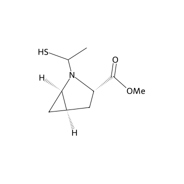 COC(=O)[C@@H]1C[C@H]2C[C@H]2N1C(C)S